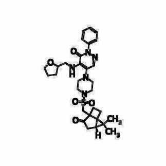 CC1(C)[C@@H]2CC(=O)C3(CS(=O)(=O)N4CCN(c5cnn(-c6ccccc6)c(=O)c5NCC5CCCO5)CC4)CCC231